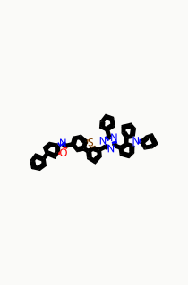 C1=CCCC(n2c3ccccc3c3c(-c4nc(-c5ccccc5)nc(-c5cccc6c5sc5ccc(-c7nc8ccc(-c9ccccc9)cc8o7)cc56)n4)cccc32)=C1